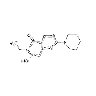 CCn1c(O)cc2nc(N3CCCCC3)ncc2c1=O